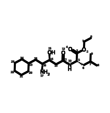 CCOC(=O)[C@H](CC(C)C)NC(=O)C[C@H](O)[C@@H](N)CC1CCCCC1